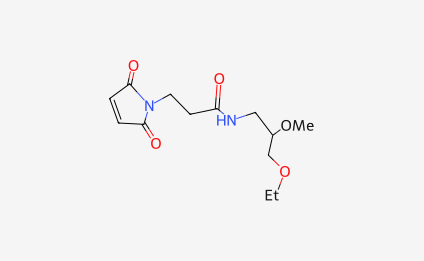 CCOCC(CNC(=O)CCN1C(=O)C=CC1=O)OC